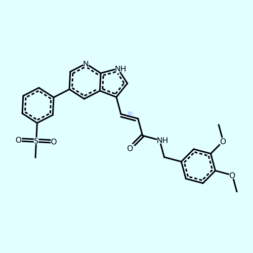 COc1ccc(CNC(=O)/C=C/c2c[nH]c3ncc(-c4cccc(S(C)(=O)=O)c4)cc23)cc1OC